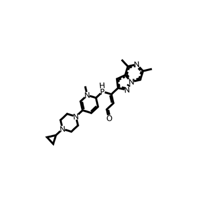 Cc1cn2nc(/C(=C/C=O)PC3C=CC(N4CCN(C5CC5)CC4)=CN3C)cc2c(C)n1